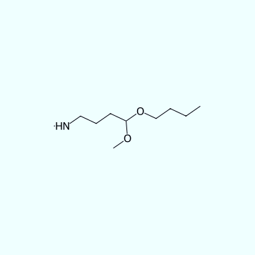 CCCCOC(CCC[NH])OC